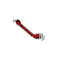 CCCN(OCC)C(=O)C1=Cc2c(cnn2Cc2ccc(OCCOCCOCCOCCOCCOCCOCCOCCOCCOCCOCCC(=O)Oc3c(F)c(F)c(S(=O)(=O)O)c(F)c3F)cc2)N=C(N)C1